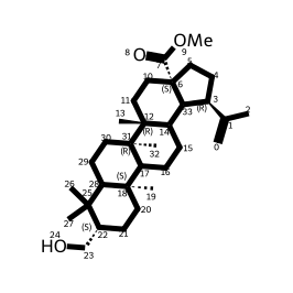 C=C(C)[C@@H]1CC[C@]2(C(=O)OC)CC[C@]3(C)C(CCC4[C@@]5(C)CC[C@H](CO)C(C)(C)C5CC[C@]43C)C12